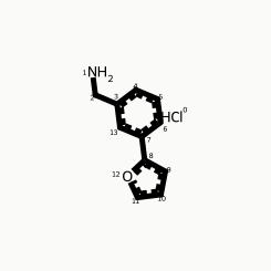 Cl.NCc1cccc(-c2ccco2)c1